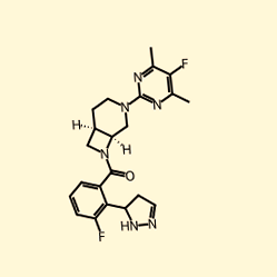 Cc1nc(N2CC[C@@H]3CN(C(=O)c4cccc(F)c4C4CC=NN4)[C@@H]3C2)nc(C)c1F